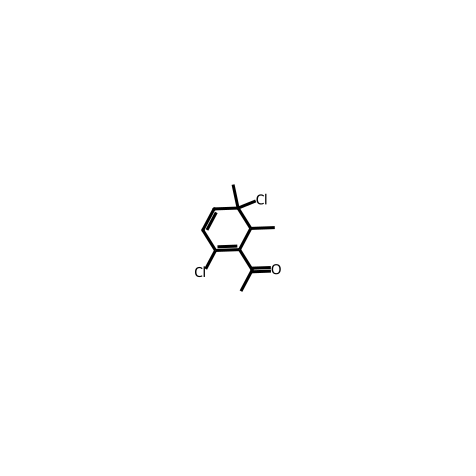 CC(=O)C1=C(Cl)C=CC(C)(Cl)C1C